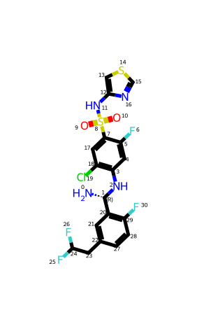 N[C@H](Nc1cc(F)c(S(=O)(=O)Nc2cscn2)cc1Cl)c1cc(CC(F)F)ccc1F